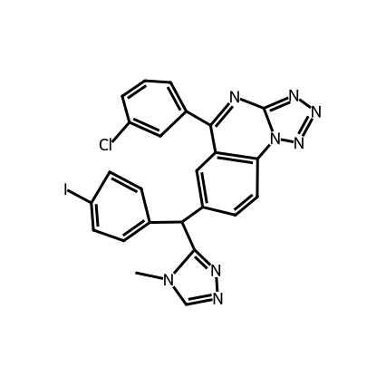 Cn1cnnc1C(c1ccc(I)cc1)c1ccc2c(c1)c(-c1cccc(Cl)c1)nc1nnnn12